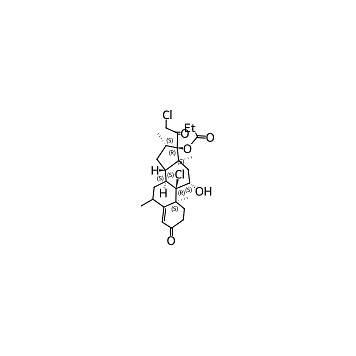 CCC(=O)O[C@]1(C(=O)CCl)[C@@H](C)C[C@H]2[C@@H]3CC(C)C4=CC(=O)CC[C@]4(C)[C@@]3(Cl)[C@@H](O)C[C@@]21C